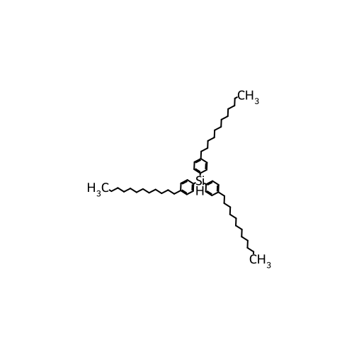 CCCCCCCCCCCCc1ccc([SiH](c2ccc(CCCCCCCCCCCC)cc2)c2ccc(CCCCCCCCCCCC)cc2)cc1